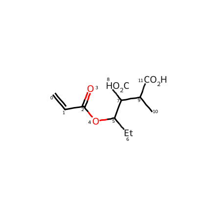 C=CC(=O)OC(CC)C(C(=O)O)C(C)C(=O)O